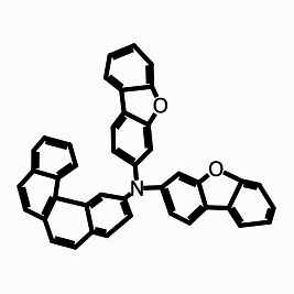 c1ccc2c(c1)ccc1ccc3ccc(N(c4ccc5c(c4)oc4ccccc45)c4ccc5c(c4)oc4ccccc45)cc3c12